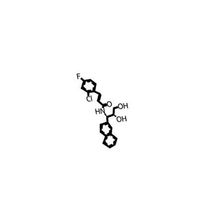 O=C(C=Cc1ccc(F)cc1Cl)N[C@H](c1ccc2ccccc2c1)[C@H](O)CO